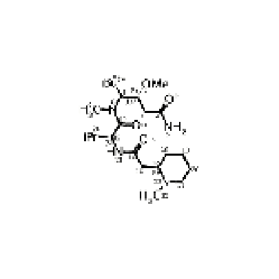 CC[C@H](C)[C@@H]([C@@H](CC(N)=O)OC)N(C)C(=O)[C@@H](NC(=O)C[C@H]1CCCCN1C)C(C)C